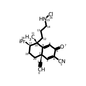 C#C[C@]12C=C(C#N)C(=O)C=C1[C@@](C)(CCCNCl)[C@H](C(C)C)CC2